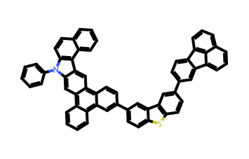 c1ccc(-n2c3cc4c5ccccc5c5cc(-c6ccc7sc8ccc(-c9ccc%10c(c9)-c9cccc%11cccc-%10c9%11)cc8c7c6)ccc5c4cc3c3c4ccccc4ccc32)cc1